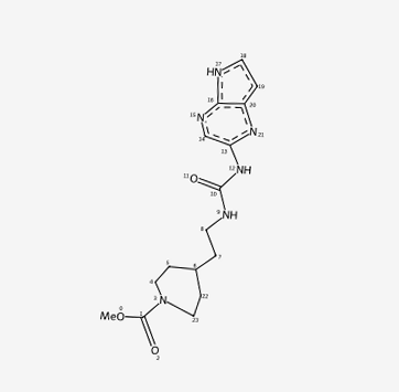 COC(=O)N1CCC(CCNC(=O)Nc2cnc3[nH]ccc3n2)CC1